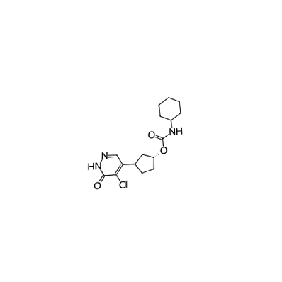 O=C(NC1CCCCC1)O[C@@H]1CCC(c2cn[nH]c(=O)c2Cl)C1